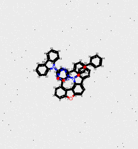 C1=c2oc3ccc4c5ccccc5n(-c5ccccc5)c4c3c2=C(c2nc(-c3ccc(-c4ccccc4)cc3)nc(-n3c4ccccc4c4ccccc43)n2)CC1